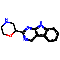 c1ccc2c(c1)[nH]c1nc(C3CNCCO3)ncc12